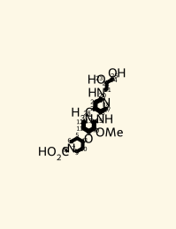 COc1c(OC2CCN(C(=O)O)CC2)ccnc1Nc1cnc(NCC(O)CO)cc1C